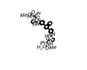 C=C(N[C@H](C(=O)N1CCC[C@H]1c1nc2ccc(-c3ccc(-c4ccc5nc(C6CCCN6C(=O)[C@@H](NC(=O)OC)C(C)C)[nH]c5c4)c4c3C3CCC4CC3)cc2[nH]1)C(C)C)OC